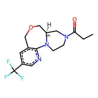 CCC(=O)N1CCN2c3ncc(C(F)(F)F)cc3COC[C@H]2C1